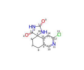 O=C1NC(=O)C2(CCCc3cnc(Cl)cc32)N1